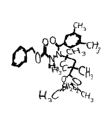 C[SiH2]OC(O[SiH2]C)C(C)(C)CC(C)(C)N(NC(=O)OCc1ccccc1)C(=O)c1cc(C)cc(C)c1